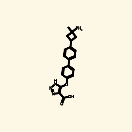 CC1(P)CC(c2ccc(-c3ccc(Oc4[nH]nnc4C(=O)O)cc3)cc2)C1